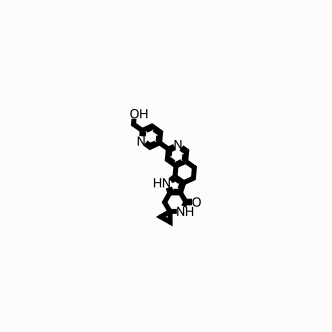 O=C1NC2(CC2)Cc2[nH]c3c(c21)CCc1cnc(-c2ccc(CO)nc2)cc1-3